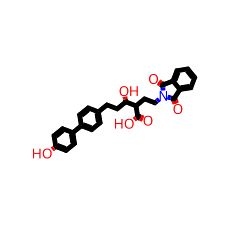 O=C(O)C(CCN1C(=O)c2ccccc2C1=O)C(O)CCc1ccc(-c2ccc(O)cc2)cc1